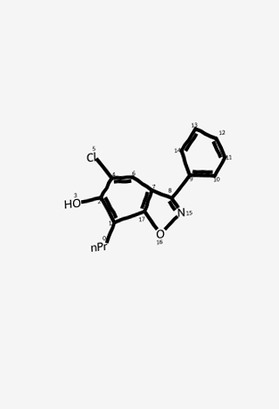 CCCc1c(O)c(Cl)cc2c(-c3ccccc3)noc12